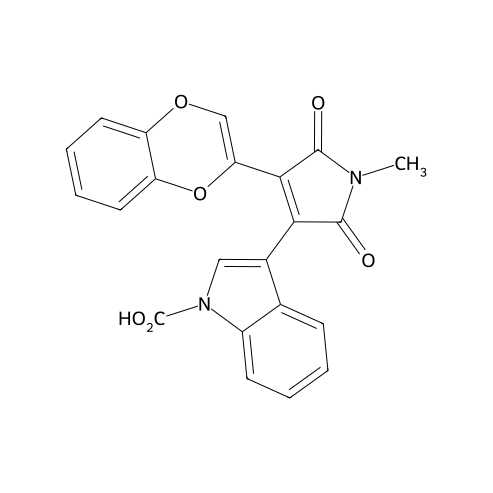 CN1C(=O)C(C2=COc3ccccc3O2)=C(c2cn(C(=O)O)c3ccccc23)C1=O